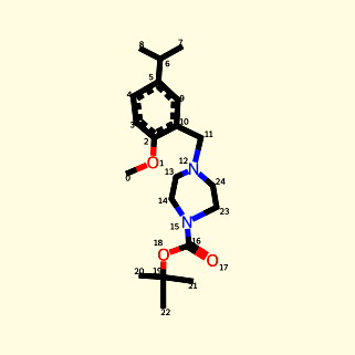 COc1ccc(C(C)C)cc1CN1CCN(C(=O)OC(C)(C)C)CC1